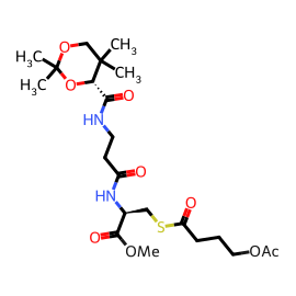 COC(=O)[C@H](CSC(=O)CCCOC(C)=O)NC(=O)CCNC(=O)[C@@H]1OC(C)(C)OCC1(C)C